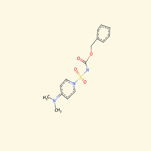 C[N+](C)=c1ccn(S(=O)(=O)[N-]C(=O)OCc2ccccc2)cc1